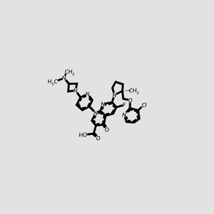 CN(C)C1CN(c2ccc(-n3cc(C(=O)O)c(=O)c4cc(F)c(N5CCC[C@@]5(C)COc5ncccc5Cl)nc43)cn2)C1